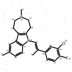 C/C(=C\n1c2c(c3cc(C)ccc31)CCN(C)CC2)c1ccc(F)c(Cl)c1